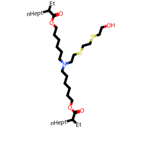 CCCCCCCC(CC)C(=O)OCCCCCCN(CCCCCCOC(=O)C(CC)CCCCCCC)CCSCCSCCO